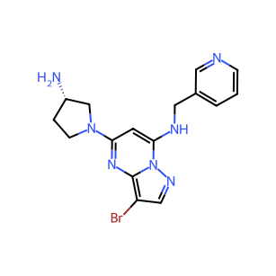 N[C@H]1CCN(c2cc(NCc3cccnc3)n3ncc(Br)c3n2)C1